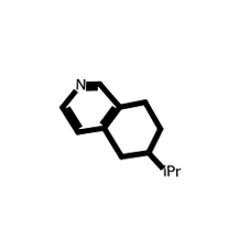 CC(C)C1CCc2cnccc2C1